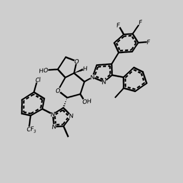 Cc1nc([C@@H]2OC3C(O)CO[C@@H]3C(n3cc(-c4cc(F)c(F)c(F)c4)c(-c4ccccc4C)n3)C2O)n(-c2cc(Cl)ccc2C(F)(F)F)n1